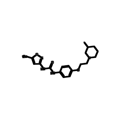 CC1CCCN(CCOc2ccc(NC(=O)Nc3cc(C(C)(C)C)on3)cc2)C1